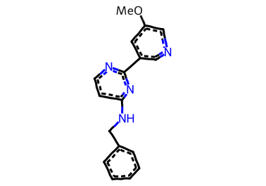 COc1cncc(-c2nccc(NCc3ccccc3)n2)c1